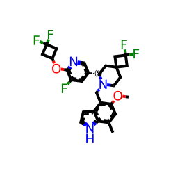 COc1cc(C)c2[nH]ccc2c1CN1CCC2(C[C@H]1c1cnc(OC3CC(F)(F)C3)c(F)c1)CC(F)(F)C2